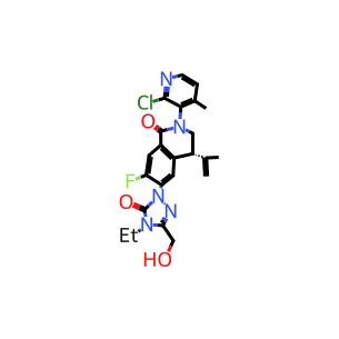 C=C(C)[C@H]1CN(c2c(C)ccnc2Cl)C(=O)c2cc(F)c(-n3nc(CO)n(CC)c3=O)cc21